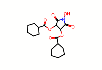 O=C(OC1C(=O)N(O)C(=O)C1OC(=O)C1CCCCC1)C1CCCCC1